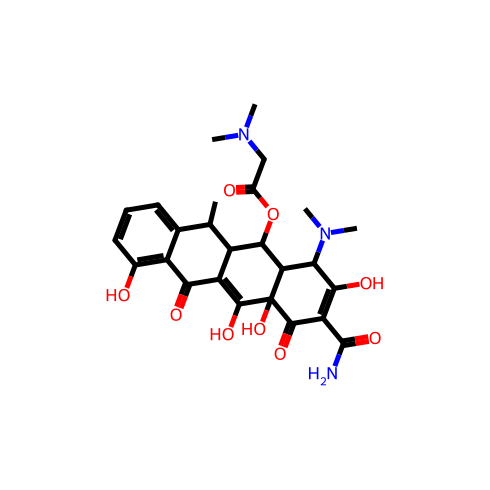 CC1c2cccc(O)c2C(=O)C2=C(O)C3(O)C(=O)C(C(N)=O)=C(O)C(N(C)C)C3C(OC(=O)CN(C)C)C21